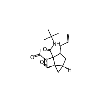 C=CCC1C[C@@H]2C[C@]2(C=O)C1(NC(C)=O)C(=O)NC(C)(C)C